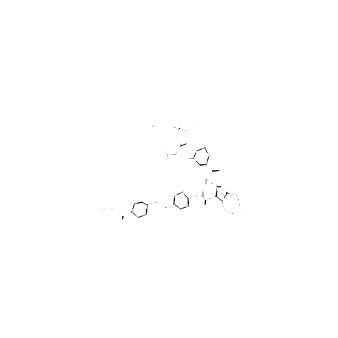 CCC(CC)N(Cc1cccc(C(=O)Nc2sc3c(c2C(=O)Nc2ccc(CCc4ccc(C(=O)OC)cc4)cc2)CCCC3)c1)C(=O)CC(C)(C)C(=O)O